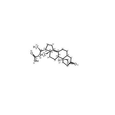 CC(=O)OC[C@]12CCC(=O)CC1CCC1=C3CC[C@H](C(C)OC(=O)C(C)(C)C)[C@@]3(C)CC[C@@H]12